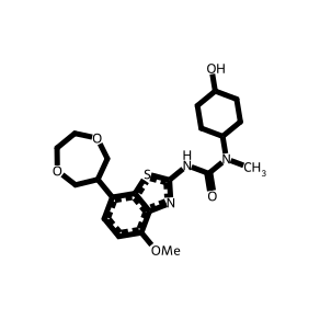 COc1ccc(C2COCCOC2)c2sc(NC(=O)N(C)C3CCC(O)CC3)nc12